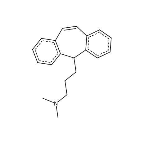 CN(C)CCCC1c2ccccc2C=Cc2ccccc21